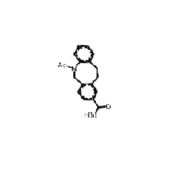 CCCCC(=O)c1ccc2c(c1)CCc1ccccc1N(C(C)=O)C2